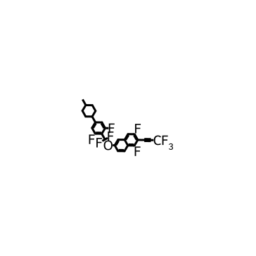 CC1CCC(c2cc(F)c(C(F)(F)Oc3ccc4c(F)c(C#CC(F)(F)F)c(F)cc4c3)c(F)c2)CC1